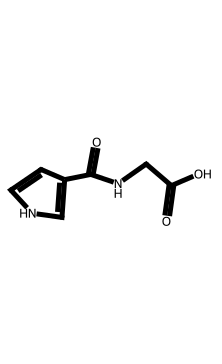 O=C(O)CNC(=O)c1cc[nH]c1